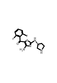 Nc1nc(N[C@H]2CCNC2)sc1C(=O)c1c(F)cccc1F